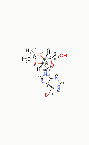 CC1(C)O[C@@H]2[C@H](O1)[C@@H](CO)O[C@H]2n1cnc2c(Br)ncnc21